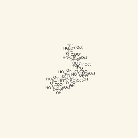 CCCCCCCCOP(=O)(O)OC(O)(OP(=O)(O)OCCCCCCCC)C(=O)[O-].CCCCCCCCOP(=O)(O)OC(O)(OP(=O)(O)OCCCCCCCC)C(=O)[O-].CCCCCCCCOP(=O)(O)OC(O)(OP(=O)(O)OCCCCCCCC)C(=O)[O-].CCCCCCCCOP(=O)(O)OC(O)(OP(=O)(O)OCCCCCCCC)C(=O)[O-].[Ti+4]